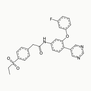 CCS(=O)(=O)c1ccc(CC(=O)Nc2ccc(-c3cncnc3)c(Oc3cccc(F)c3)c2)cc1